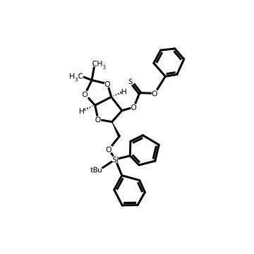 CC1(C)O[C@@H]2O[C@H](CO[Si](c3ccccc3)(c3ccccc3)C(C)(C)C)C(OC(=S)Oc3ccccc3)[C@@H]2O1